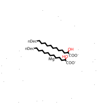 CCCCCCCCCCCCCCCCCCCCC(O)C(=O)[O-].CCCCCCCCCCCCCCCCCCCCC(O)C(=O)[O-].[Mg+2]